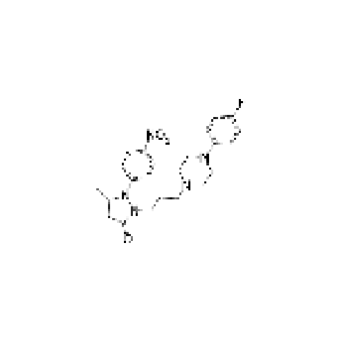 CC1CC(=O)N(CCCN2CCN(c3ccc(F)cc3)CC2)N1c1ccc([N+](=O)[O-])cc1